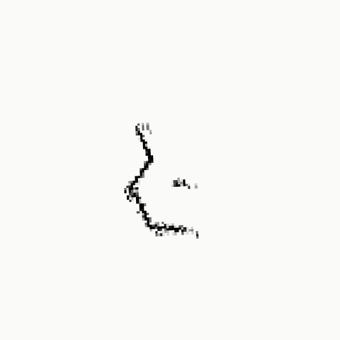 CCCCCCCC/C=C\CCCCCCCC(=O)OC(=O)CCCCCCC/C=C\C[C@H](O)CCCCCC.N.[CaH2]